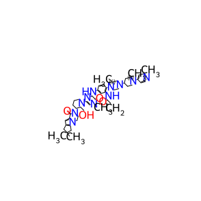 C=CC(=O)Nc1cc(Nc2nc(N3CCCC(N4CCn5c(cc6c5CC(C)(C)C6)C4=O)C3CO)cn(C)c2=O)ccc1N1CCN(C2CCN(c3ccnc(C)c3)[C@H](C)C2)C[C@@H]1C